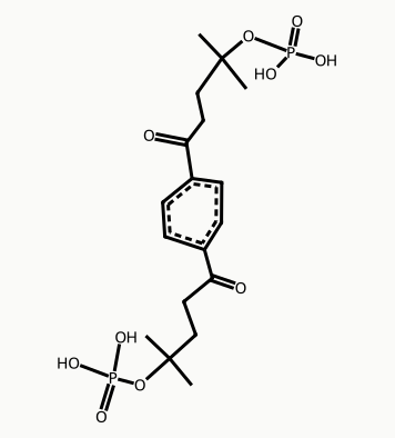 CC(C)(CCC(=O)c1ccc(C(=O)CCC(C)(C)OP(=O)(O)O)cc1)OP(=O)(O)O